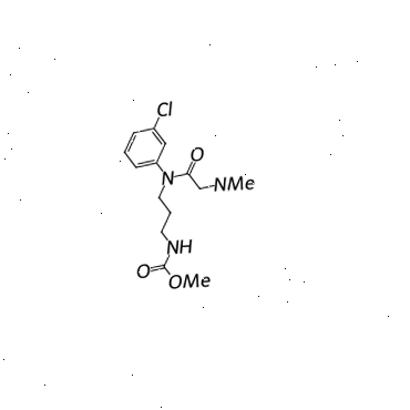 CNCC(=O)N(CCCNC(=O)OC)c1cccc(Cl)c1